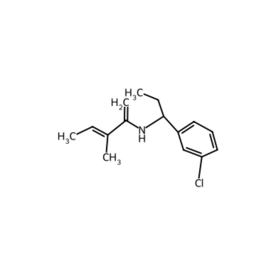 C=C(NC(CC)c1cccc(Cl)c1)/C(C)=C/C